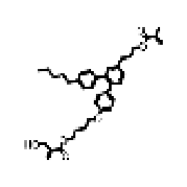 C=C(C)C(=O)OCCCc1ccc(-c2ccc(OCCCCOC(=O)C(=C)CO)cc2)c(-c2ccc(CCCCC)cc2)c1